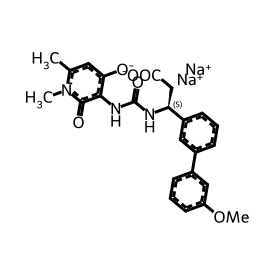 COc1cccc(-c2cccc([C@H](CC(=O)[O-])NC(=O)Nc3c([O-])cc(C)n(C)c3=O)c2)c1.[Na+].[Na+]